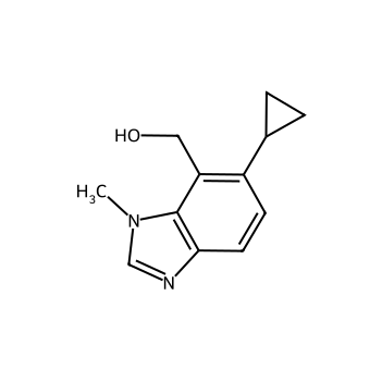 Cn1cnc2ccc(C3CC3)c(CO)c21